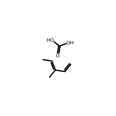 C=CC(C)=CC.O=C(O)O